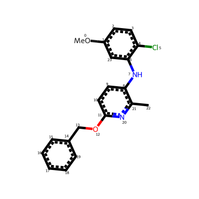 COc1ccc(Cl)c(Nc2ccc(OCc3ccccc3)nc2C)c1